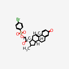 CC1C[C@H]2[C@@H]3CCC4=CC(=O)C=C[C@]4(C)C3=CC[C@]2(C)[C@H]1C(=O)COS(=O)(=O)c1ccc(Br)cc1